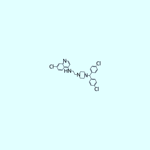 Clc1ccc(C(c2ccc(Cl)cc2)N2CCN(CCNc3ccnc4cc(Cl)ccc34)CC2)cc1